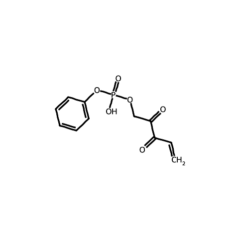 C=CC(=O)C(=O)COP(=O)(O)Oc1ccccc1